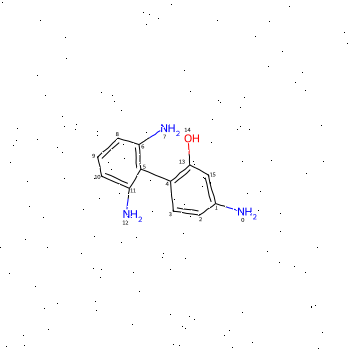 Nc1ccc(-c2c(N)cccc2N)c(O)c1